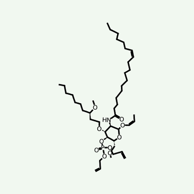 C=CCOP(=O)(OCC=C)O[C@H]1[C@H](OCC[C@@H](CCCCCCC)OC)[C@@H](NC(=O)CCCCCCCCC/C=C\CCCCCC)C(O/C=C\C)O[C@@H]1COC